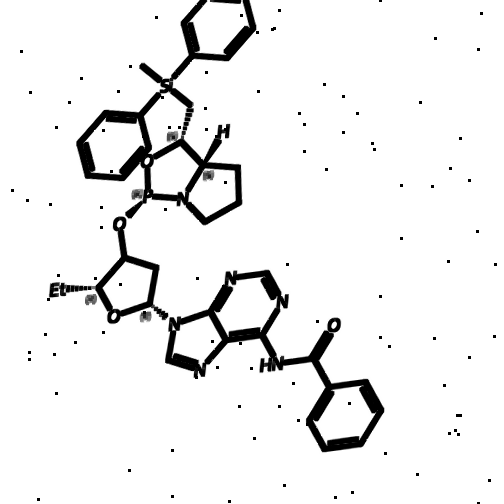 CC[C@H]1O[C@@H](n2cnc3c(NC(=O)c4ccccc4)ncnc32)CC1O[P@@]1O[C@H](C[Si](C)(c2ccccc2)c2ccccc2)[C@@H]2CCCN21